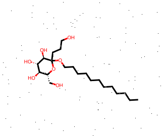 CCCCCCCCCCCCOC1(CCCO)O[C@H](CO)[C@@H](O)[C@H](O)[C@H]1O